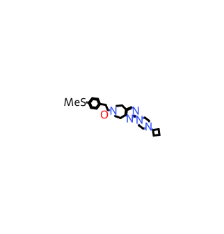 CSc1ccc(CC(=O)N2CCc3cnc(N4CCN(C5CCC5)CC4)nc3CC2)cc1